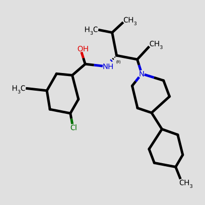 CC1CCC(C2CCN(C(C)[C@H](NC(O)C3CC(C)CC(Cl)C3)C(C)C)CC2)CC1